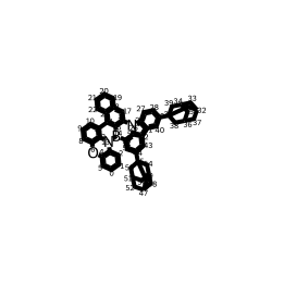 c1ccc2c(c1)Oc1cccc3c1N2B1c2c(cc4ccccc4c2-3)-n2c3ccc(C45CC6CC(CC(C6)C4)C5)cc3c3cc(C45CC6CC(CC(C6)C4)C5)cc1c32